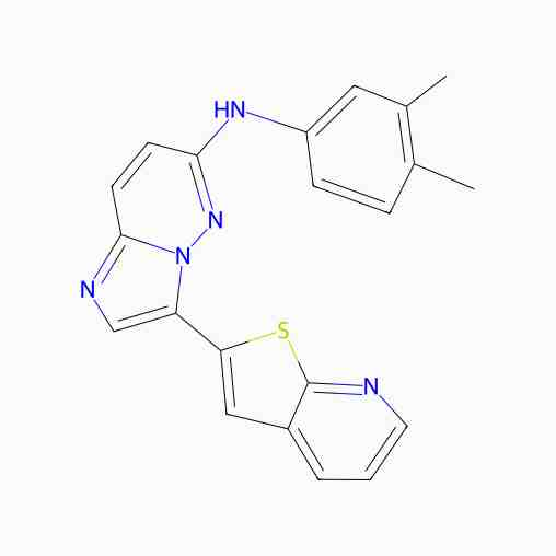 Cc1ccc(Nc2ccc3ncc(-c4cc5cccnc5s4)n3n2)cc1C